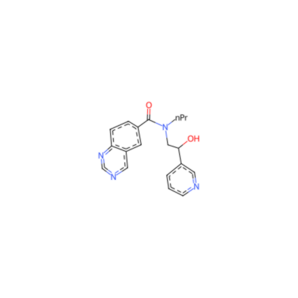 CCCN(CC(O)c1cccnc1)C(=O)c1ccc2ncncc2c1